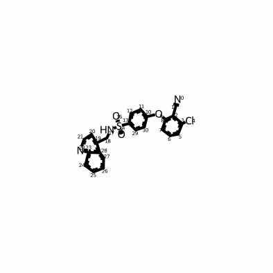 N#Cc1c(Cl)cccc1Oc1ccc(S(=O)(=O)NCc2ccnc3ccccc23)cc1